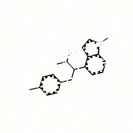 CC(N)C(Cc1ccc(Cl)cc1)c1cccc2c1ccn2C